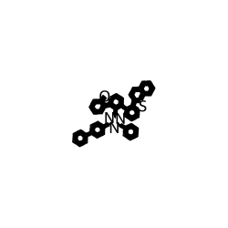 c1ccc(-c2ccc(-c3nc(-c4ccccc4)nc(-c4c(-c5cccc6sc7c8ccccc8ccc7c56)ccc5oc6ccccc6c45)n3)cc2)cc1